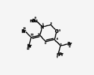 CCCCN1COC(C(Br)CCC)=CC1=C(Br)Br